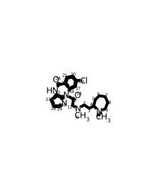 CN(CCC1CCCCCN1C)CC(=O)N1c2cc(Cl)ccc2C(=O)Nc2cccnc21